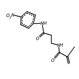 C=C(C)C(=O)NCCC(=O)Nc1ccc([N+](=O)[O-])cc1